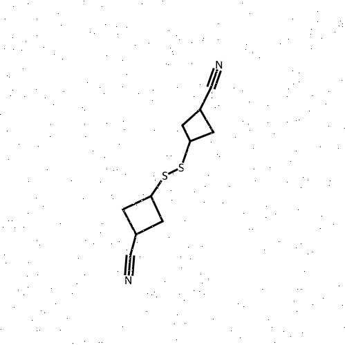 N#CC1CC(SSC2CC(C#N)C2)C1